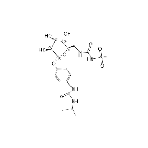 CC(C)NC(=O)Nc1ccc(O[C@H]2O[C@H](CNC(=O)NS(C)(=O)=O)[C@@H](O)[C@H](O)[C@@H]2O)cc1